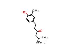 CCCCCC(CC(=O)CCc1ccc(O)c(OC)c1)SC